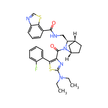 CCN(CC)c1nc(C(=O)N2[C@H]3CC[C@H](C3)[C@@H]2CNC(=O)c2cccc3ncsc23)c(-c2ccccc2F)s1